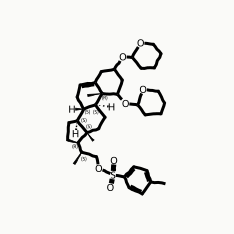 Cc1ccc(S(=O)(=O)OC[C@@H](C)[C@H]2CC[C@H]3[C@@H]4CC=C5CC(OC6CCCCO6)CC(OC6CCCCO6)[C@]5(C)[C@H]4CC[C@]23C)cc1